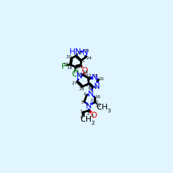 C=CC(=O)N1CCN(c2ncnc3c(Oc4c(Cl)c(F)cc5[nH]ncc45)nccc23)C[C@H]1C